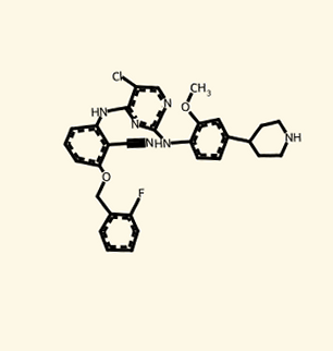 COc1cc(C2CCNCC2)ccc1Nc1ncc(Cl)c(Nc2cccc(OCc3ccccc3F)c2C#N)n1